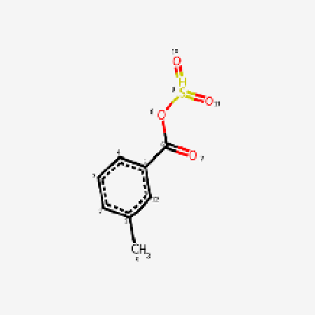 Cc1cccc(C(=O)O[SH](=O)=O)c1